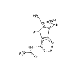 CCCc1[nH]nc2c1C(=O)c1c(NC(N)=O)cccc1-2